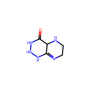 O=C1NNNC2=NCCNC12